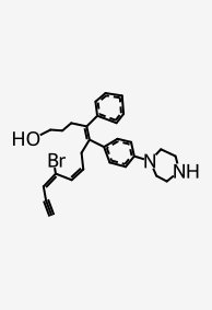 C#C/C=C(Br)\C=C/C/C(=C(\CCCO)c1ccccc1)c1ccc(N2CCNCC2)cc1